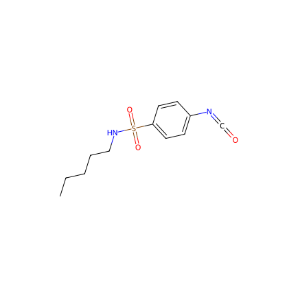 CCCCCNS(=O)(=O)c1ccc(N=C=O)cc1